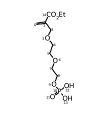 C=C(COCCOCCOP(=O)(O)O)C(=O)OCC